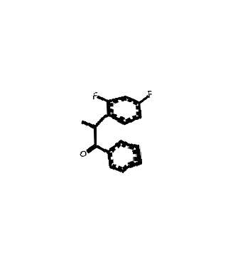 CC(C(=O)c1ccccc1)c1ccc(F)cc1F